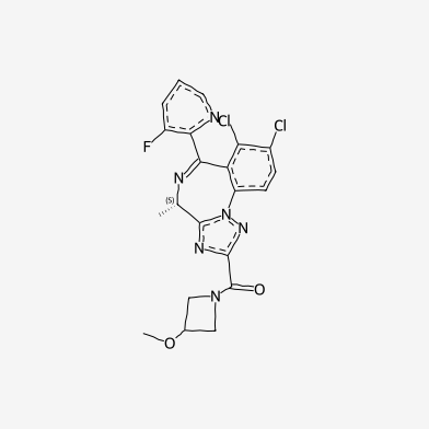 COC1CN(C(=O)c2nc3n(n2)-c2ccc(Cl)c(Cl)c2C(c2ncccc2F)=N[C@H]3C)C1